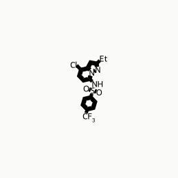 CCc1cc2c(Cl)ccc(NS(=O)(=O)c3ccc(C(F)(F)F)cc3)n2n1